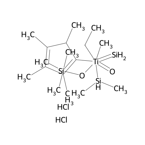 C[CH2][Ti]([CH3])(=[O])(=[SiH2])([O][Si](C)(C)C)([C]1=C(C)C(C)=C(C)C1C)[SiH](C)C.Cl.Cl